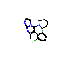 Cc1nc2nccn2c(N2CCCCC2)c1-c1c(F)cccc1Cl